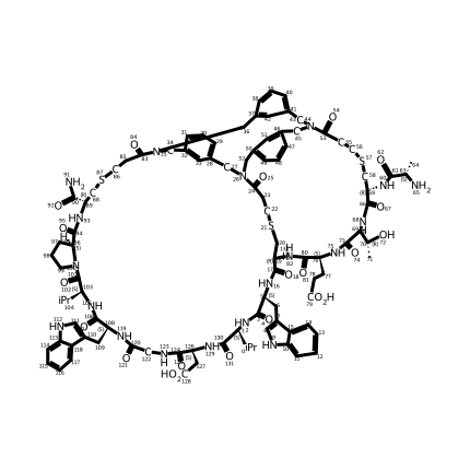 CC(C)[C@@H]1NC(=O)[C@H](Cc2c[nH]c3ccccc23)NC(=O)[C@@H]2CSCCC(=O)N3Cc4cccc(c4)CN(Cc4cccc(c4)CN(Cc4cccc(c4)C3)C(=O)CCSC[C@H](NC(=O)[C@H](C)N)C(=O)N[C@@H]([C@@H](C)O)C(=O)N[C@@H](CCC(=O)O)C(=O)N2)C(=O)CCSC[C@@H](C(N)=O)NC(=O)[C@@H]2CCCN2C(=O)[C@H](C(C)C)NC(=O)[C@H](Cc2c[nH]c3ccccc23)NC(=O)CNC(=O)[C@H](CC(=O)O)NC1=O